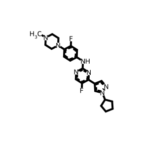 CN1CCN(c2ccc(Nc3ncc(F)c(-c4cnn(C5CCCC5)c4)n3)cc2F)CC1